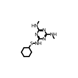 CNc1nc(NC)nc(NSC2CCCCC2)n1